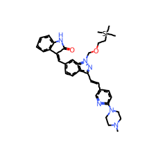 CN1CCN(c2ccc(C=Cc3nn(COCC[Si](C)(C)C)c4cc(C=C5C(=O)Nc6ccccc65)ccc34)cn2)CC1